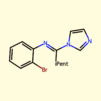 CCCC(C)C(=Nc1ccccc1Br)n1ccnc1